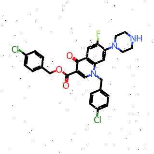 O=C(OCc1ccc(Cl)cc1)c1cn(Cc2ccc(Cl)cc2)c2cc(N3CCNCC3)c(F)cc2c1=O